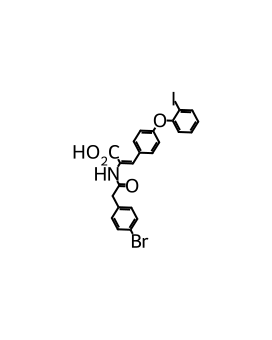 O=C(Cc1ccc(Br)cc1)NC(=Cc1ccc(Oc2ccccc2I)cc1)C(=O)O